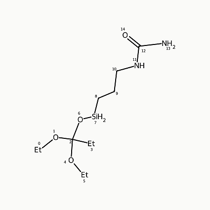 CCOC(CC)(OCC)O[SiH2]CCCNC(N)=O